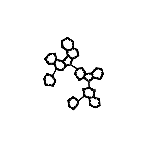 c1ccc(-c2nc(-n3c4ccccc4c4cc(-n5c6ccc7ccccc7c6c6c7ccccc7c(-c7ccccc7)cc65)ccc43)nc3ccccc23)cc1